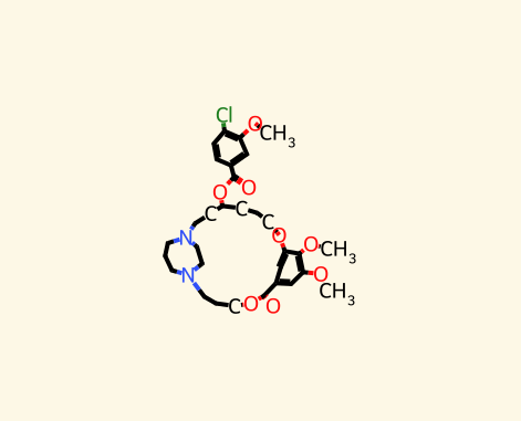 COc1cc(C(=O)OC2CCCOc3cc(cc(OC)c3OC)C(=O)OCCCN3CCCN(CC2)CC3)ccc1Cl